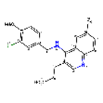 COc1ccc(CNc2c(CCC(=O)O)cnc3ccc(C#N)cc23)cc1Cl